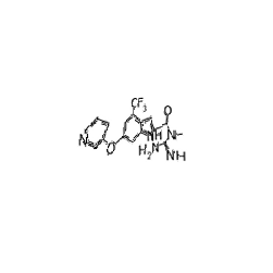 CN(C(=N)N)C(=O)c1cc2c(C(F)(F)F)cc(Oc3cccnc3)cc2[nH]1